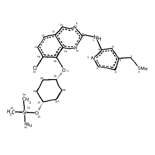 CSCc1ccnc(Nc2ncc3ccc(Cl)c(O[C@H]4CC[C@@H](O[Si](C)(C)C(C)(C)C)CC4)c3n2)c1